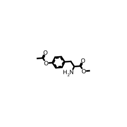 COC(=O)C(N)Cc1ccc(OC(C)=O)cc1